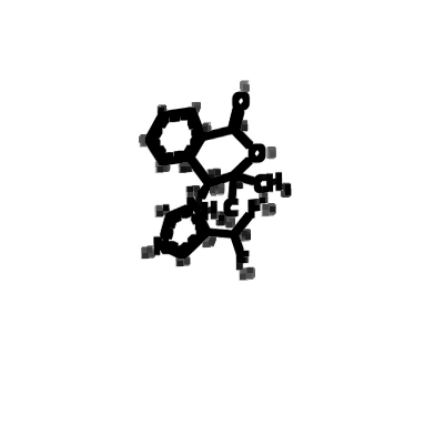 CC1(C)OC(=O)c2ccccc2[C@@H]1n1cncc1C(F)F